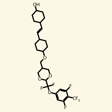 OC1CCC(/C=C/C2CCC(OCC3COC(C(F)(F)Oc4cc(F)c(C(F)(F)F)c(F)c4)OC3)CC2)CC1